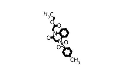 CCOC(=O)CN1C(=O)CN(S(=O)(=O)c2ccc(C)cc2)c2ccccc21